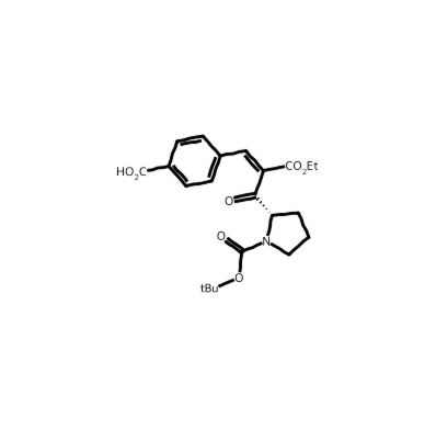 CCOC(=O)C(=Cc1ccc(C(=O)O)cc1)C(=O)[C@@H]1CCCN1C(=O)OC(C)(C)C